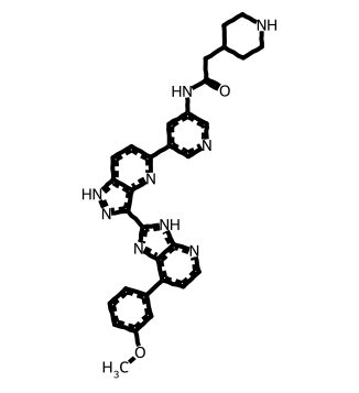 COc1cccc(-c2ccnc3[nH]c(-c4n[nH]c5ccc(-c6cncc(NC(=O)CC7CCNCC7)c6)nc45)nc23)c1